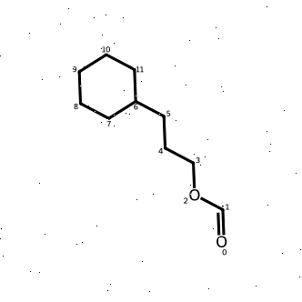 O=[C]OCCCC1CCCCC1